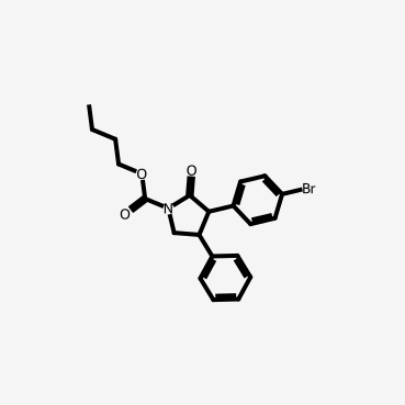 CCCCOC(=O)N1CC(c2ccccc2)C(c2ccc(Br)cc2)C1=O